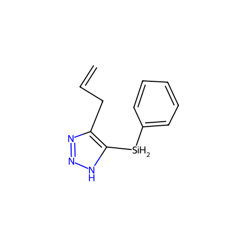 C=CCc1nn[nH]c1[SiH2]c1ccccc1